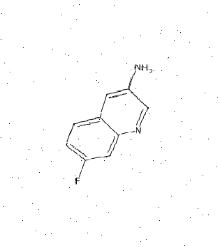 Nc1cnc2cc(F)ccc2c1